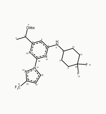 COC(C)c1cc(NC2CCC(F)(F)CC2)nc(-n2ccc(C(F)(F)F)n2)n1